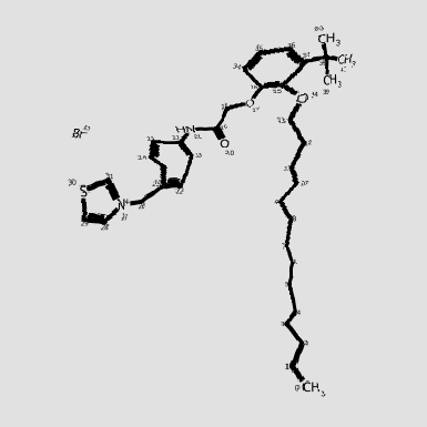 CCCCCCCCCCCCCCOc1c(OCC(=O)Nc2ccc(C[n+]3ccsc3)cc2)cccc1C(C)(C)C.[Br-]